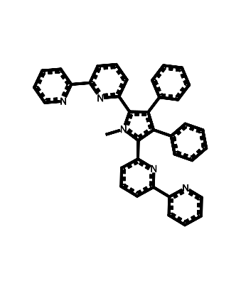 Cn1c(-c2cccc(-c3ccccn3)n2)c(-c2ccccc2)c(-c2ccccc2)c1-c1cccc(-c2ccccn2)n1